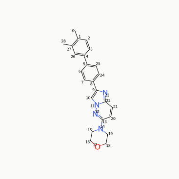 Cc1ccc(-c2ccc(-c3cn4nc(N5CCOCC5)ccc4n3)cc2)cc1C